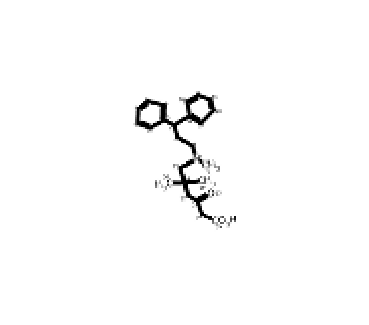 CN(CCC(c1ccccc1)c1ccccc1)CC(C)(C)CC(=O)CC(=O)O